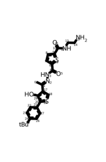 C/C(=N\NC(=O)c1ccc(C(=O)NCCN)s1)c1csc(-c2ccc(C(C)(C)C)cc2)c1O